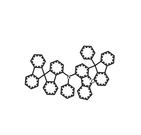 c1ccc(N(c2cccc3c2-c2ccccc2C32c3ccccc3-c3ccccc32)c2ccc(C3(c4ccccc4)c4ccccc4-c4ccccc43)c3oc4ccccc4c23)cc1